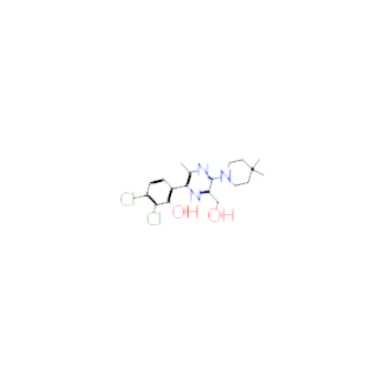 Cc1nc(N2CCC(C)(C)CC2)c(CO)nc1-c1ccc(Cl)c(Cl)c1O